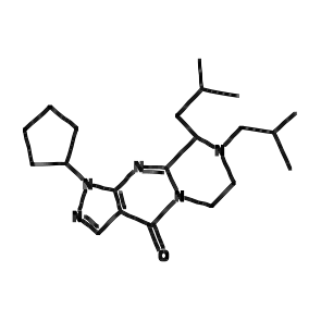 CC(C)CC1c2nc3c(cnn3C3CCCC3)c(=O)n2CCN1CC(C)C